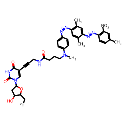 [2H]CC1OC(n2cc(C#CCNC(=O)CCCN(C)c3ccc(/N=N\c4cc(C)c(/N=N/c5ccc(C)cc5[N+](=O)[O-])cc4C)cc3)c(=O)[nH]c2=O)CC1O